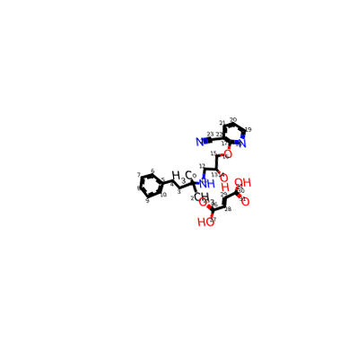 CC(C)(CCc1ccccc1)NCC(O)COc1ncccc1C#N.O=C(O)C=CC(=O)O